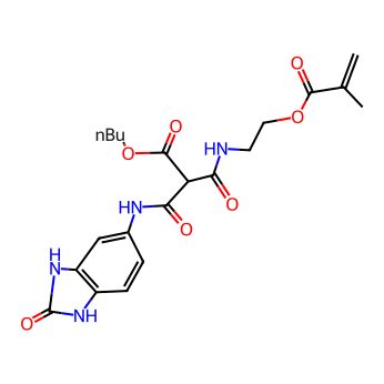 C=C(C)C(=O)OCCNC(=O)C(C(=O)Nc1ccc2[nH]c(=O)[nH]c2c1)C(=O)OCCCC